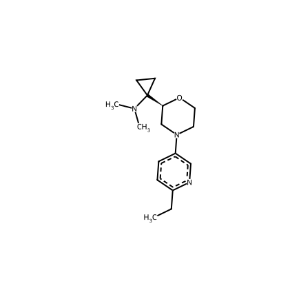 CCc1ccc(N2CCO[C@H](C3(N(C)C)CC3)C2)cn1